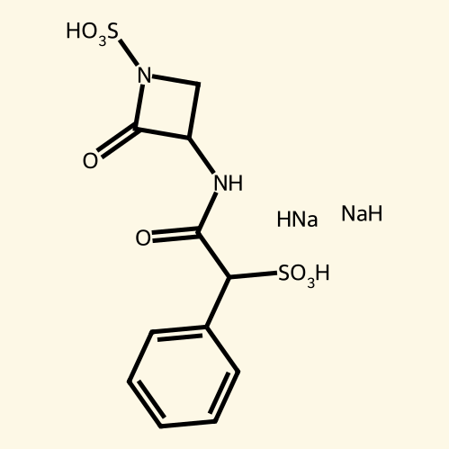 O=C(NC1CN(S(=O)(=O)O)C1=O)C(c1ccccc1)S(=O)(=O)O.[NaH].[NaH]